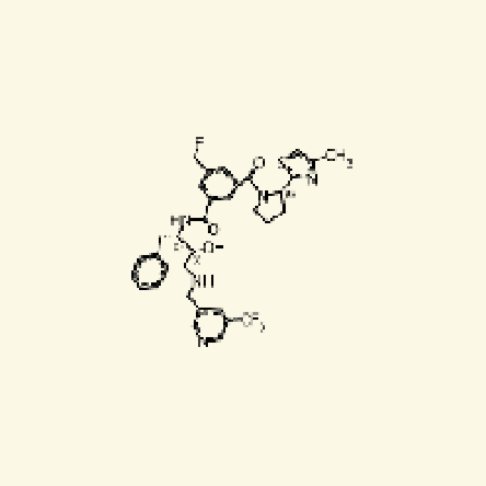 Cc1csc([C@H]2CCCN2C(=O)c2cc(CF)cc(C(=O)N[C@@H](Cc3ccccc3)[C@H](O)CNCc3cncc(C(F)(F)F)c3)c2)n1